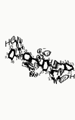 O=S(=O)([O-])c1cc(N(Nc2ccccc2)c2ncnc(O)n2)ccc1C=Cc1ccc(N(Nc2ccccc2)c2ncnc(O)n2)cc1S(=O)(=O)[O-].[Na+].[Na+]